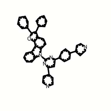 c1ccc(-c2oc3c(ccc4c3c3ccccc3n4-c3nc(-c4ccncc4)cc(-c4ccc(-c5ccncc5)cc4)n3)c2-c2ccccc2)cc1